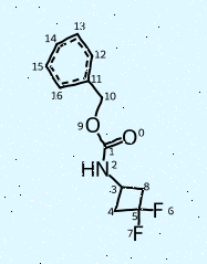 O=C(NC1CC(F)(F)C1)OCc1ccccc1